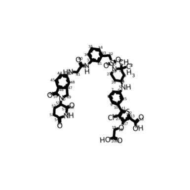 CC1(C)C[C@@H](Nc2cccc(-c3sc(C(=O)O)c(OCC(=O)O)c3Cl)c2)CCN1S(=O)(=O)Cc1cccc(NC(=O)CNc2ccc3c(c2)CN(C2CCC(=O)NC2=O)C3=O)c1